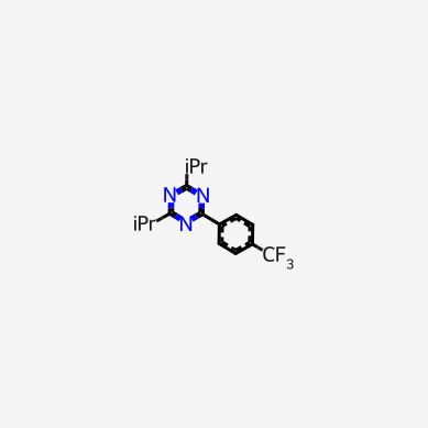 CC(C)c1nc(-c2ccc(C(F)(F)F)cc2)nc(C(C)C)n1